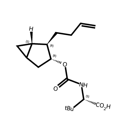 C=CCC[C@H]1[C@H](OC(=O)N[C@H](C(=O)O)C(C)(C)C)CC2C[C@@H]21